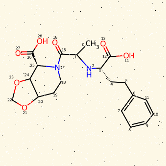 CC(N[C@@H](CCc1ccccc1)C(=O)O)C(=O)N1CCC2OCOC2[C@H]1C(=O)O